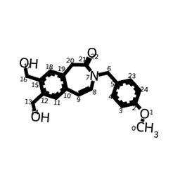 COc1ccc(CN2C=Cc3cc(CO)c(CO)cc3CC2=O)cc1